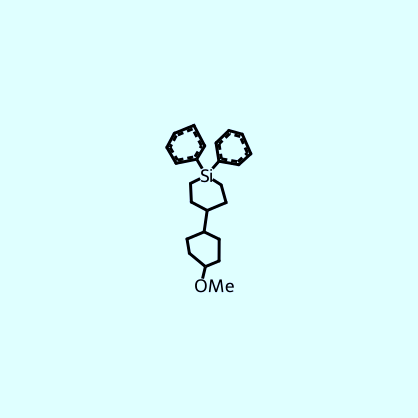 COC1CCC(C2CC[Si](c3ccccc3)(c3ccccc3)CC2)CC1